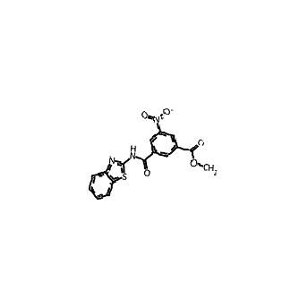 COC(=O)c1cc(C(=O)Nc2nc3ccccc3s2)cc([N+](=O)[O-])c1